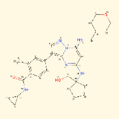 Cc1cc(-c2cnn3c(NCC4CCOCC4)cc(NC4(CO)CCCC4)nc23)ccc1C(=O)NC1CC1